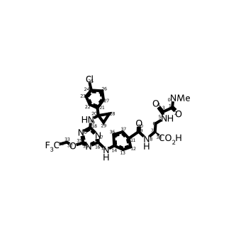 CNC(=O)C(=O)NC[C@H](NC(=O)c1ccc(Nc2nc(NC3(c4ccc(Cl)cc4)CC3)nc(OCC(F)(F)F)n2)cc1)C(=O)O